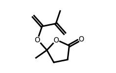 C=C(C)C(=C)OC1(C)CCC(=O)O1